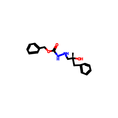 C[C@](O)(CNNC(=O)OCc1ccccc1)Cc1ccccc1